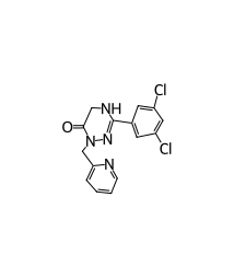 O=C1CNC(c2cc(Cl)cc(Cl)c2)=NN1Cc1ccccn1